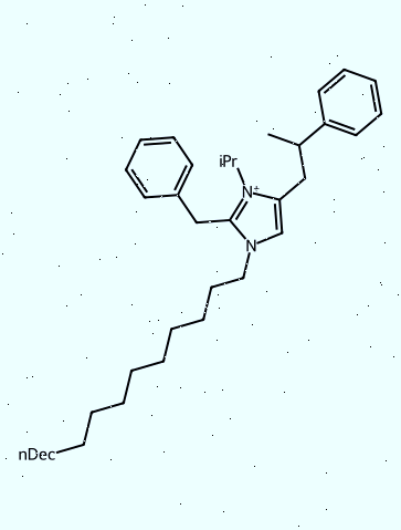 CCCCCCCCCCCCCCCCCCCn1cc(CC(C)c2ccccc2)[n+](C(C)C)c1Cc1ccccc1